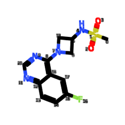 CS(=O)(=O)NC1CN(c2ncnc3ccc(F)cc23)C1